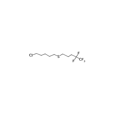 FC(F)(F)C(F)(F)CCCSCCCCCCl